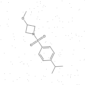 COC1CN(S(=O)(=O)c2ccc(C(C)C)cc2)C1